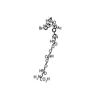 CC(=O)c1nn(CC(=O)N2C3C[C@]3(C)C[C@H]2C(=O)Nc2nc(Br)ccc2C)c2ccc(-c3cnc(CNC(=O)COCCOCCNC(=O)COCCOCCNC(=O)CC[C@H](N)C(=O)O)nc3)cc12